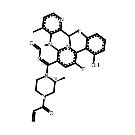 C=CC(=O)N1CCN(/C(=N/C=O)c2cc(F)c(-c3c(O)cccc3F)nc2N(C)c2c(C)ccnc2C(C)C)[C@@H](C)C1